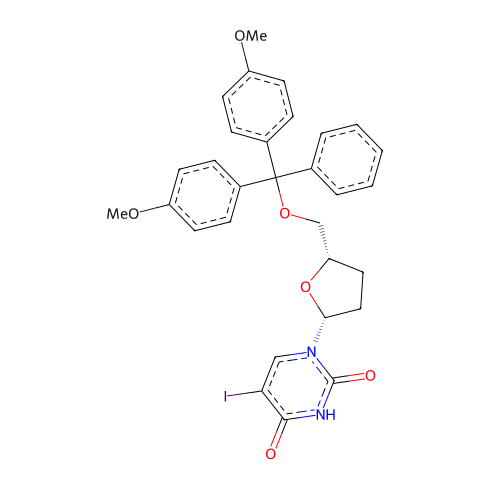 COc1ccc(C(OC[C@@H]2CC[C@H](n3cc(I)c(=O)[nH]c3=O)O2)(c2ccccc2)c2ccc(OC)cc2)cc1